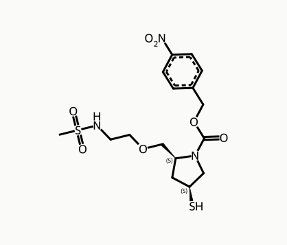 CS(=O)(=O)NCCOC[C@@H]1C[C@H](S)CN1C(=O)OCc1ccc([N+](=O)[O-])cc1